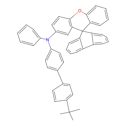 CC(C)(C)c1ccc(-c2ccc(N(c3ccccc3)c3ccc4c(c3)C3(c5ccccc5O4)c4ccccc4-c4ccccc43)cc2)cc1